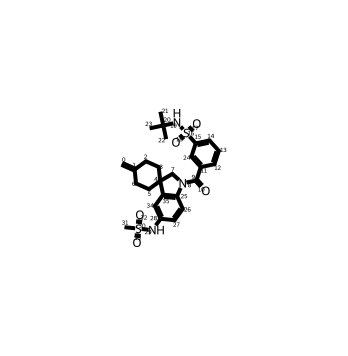 C=C1CCC2(CC1)CN(C(=O)c1cccc(S(=O)(=O)NC(C)(C)C)c1)c1ccc(NS(C)(=O)=O)cc12